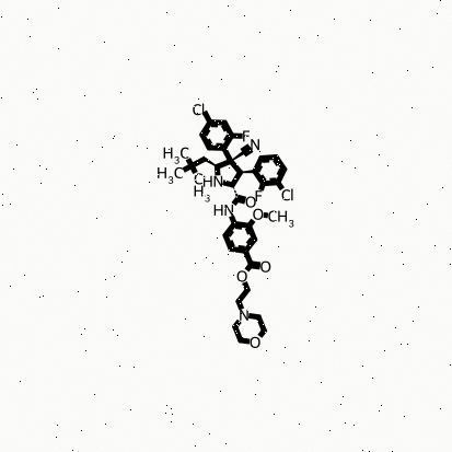 COc1cc(C(=O)OCCN2CCOCC2)ccc1NC(=O)[C@@H]1N[C@@H](CC(C)(C)C)[C@](C#N)(c2ccc(Cl)cc2F)[C@H]1c1cccc(Cl)c1F